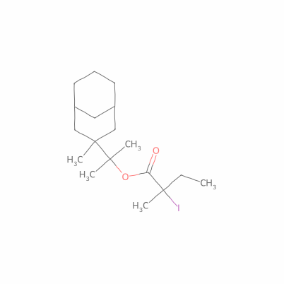 CCC(C)(I)C(=O)OC(C)(C)C1(C)CC2CCCC(C2)C1